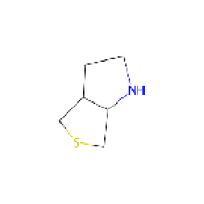 C1CC2CSCC2N1